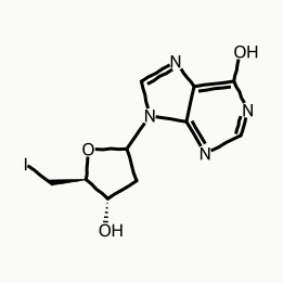 Oc1ncnc2c1ncn2C1C[C@H](O)[C@@H](CI)O1